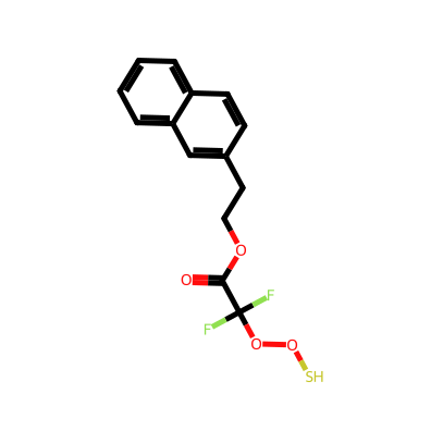 O=C(OCCc1ccc2ccccc2c1)C(F)(F)OOS